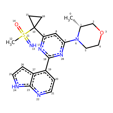 C[C@@H]1COCCN1c1cc(C2(S(C)(=N)=O)CC2)nc(-c2ccnc3[nH]ccc23)n1